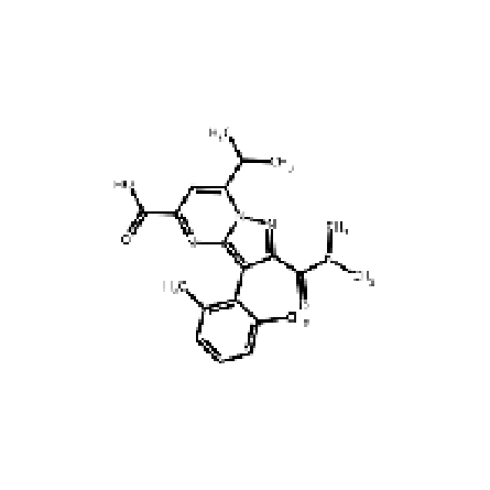 Cc1cccc(C)c1-c1c(C(=O)N(C)C)nn2c(C(C)C)cc(C(=O)O)nc12